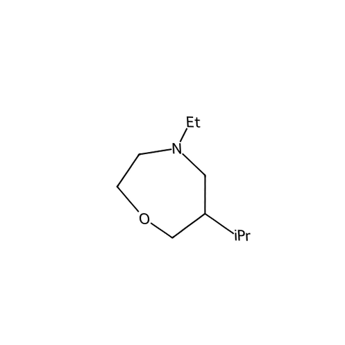 CCN1CCOCC(C(C)C)C1